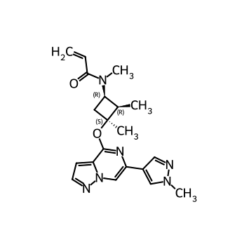 C=CC(=O)N(C)[C@@H]1C[C@](C)(Oc2nc(-c3cnn(C)c3)cn3nccc23)[C@@H]1C